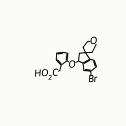 O=C(O)Cc1ccccc1OC1CC2(CCOCC2)c2ccc(Br)cc21